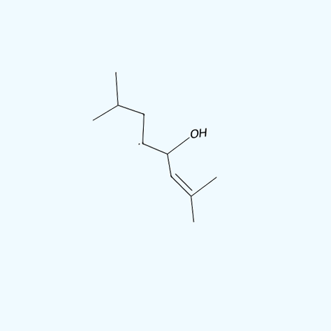 CC(C)=CC(O)[CH]CC(C)C